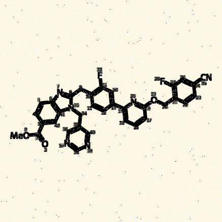 COC(=O)c1ccc2nc(Cc3ccc(-c4cccc(OCc5ccc(C#N)cc5F)n4)cc3F)n(Cc3cncnc3)c2c1